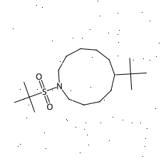 CC(C)(C)C1CCCCCN(S(=O)(=O)C(C)(C)C)CCCC1